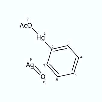 CC(=O)[O][Hg][c]1ccccc1.[O]=[Ag]